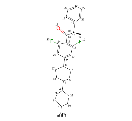 CCCC1CCC(C2CCC(c3cc(F)c(C(=O)[C@H](C)c4ccccc4)c(F)c3)CC2)CC1